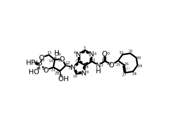 O=C(Nc1ncnc2c1ncn2[C@@H]1O[C@@H]2COP(O)(=P)OC2[C@@H]1O)OC1/C=C/CCCCC1